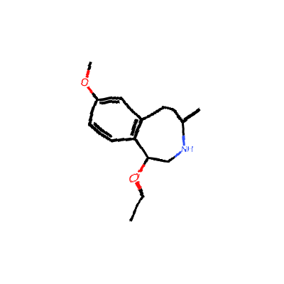 CCOC1CNC(C)Cc2cc(OC)ccc21